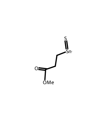 COC(=O)C[CH2][Sn]=[S]